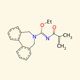 C=C(C)C(=O)/N=C(\OCC)N1Cc2ccccc2-c2ccccc2C1